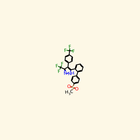 CS(=O)(=O)c1ccc(-c2ccccc2-c2[nH]nc(C(F)(F)F)c2-c2ccc(C(F)(F)F)cc2)cc1